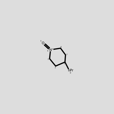 CCCC1CC[N+](=O)CC1